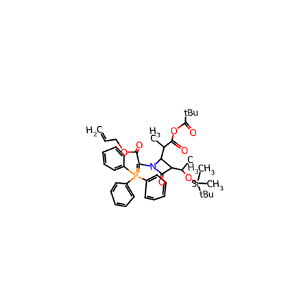 C=CCOC(=O)C(N1C(=O)C(C(C)O[Si](C)(C)C(C)(C)C)C1C(C)C(=O)OC(=O)C(C)(C)C)=P(c1ccccc1)(c1ccccc1)c1ccccc1